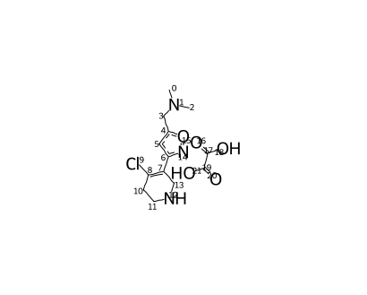 CN(C)Cc1cc(C2=C(Cl)CCNC2)no1.O=C(O)C(=O)O